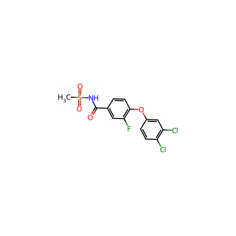 CS(=O)(=O)NC(=O)c1ccc(Oc2ccc(Cl)c(Cl)c2)c(F)c1